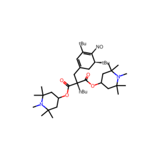 CCCCC(CC1=CC(C(C)(C)C)=C(N=O)[C@@H](C(C)(C)C)C1)(C(=O)OC1CC(C)(C)N(C)C(C)(C)C1)C(=O)OC1CC(C)(C)N(C)C(C)(C)C1